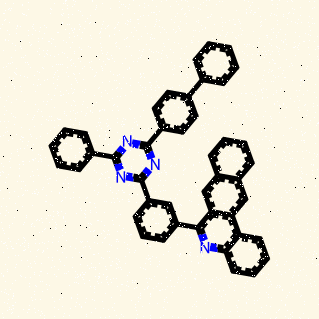 c1ccc(-c2ccc(-c3nc(-c4ccccc4)nc(-c4cccc(-c5nc6ccccc6c6cc7ccccc7cc56)c4)n3)cc2)cc1